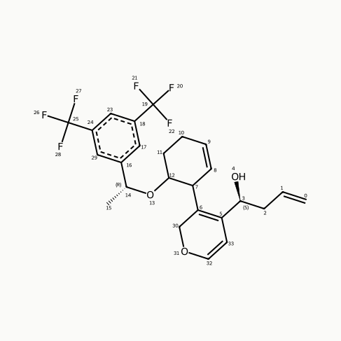 C=CC[C@H](O)C1=C(C2C=CCCC2O[C@H](C)c2cc(C(F)(F)F)cc(C(F)(F)F)c2)COC=C1